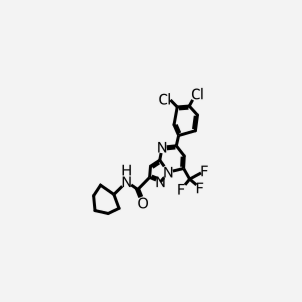 O=C(NC1CCCCC1)c1cc2nc(-c3ccc(Cl)c(Cl)c3)cc(C(F)(F)F)n2n1